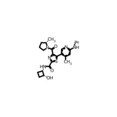 Cc1cc(NC(C)C)ncc1-c1sc(C(=O)N[C@H]2CC[C@H]2O)nc1C(=O)N1CCC[C@@H]1C